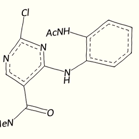 CNC(=O)c1cnc(Cl)nc1Nc1ccccc1NC(C)=O